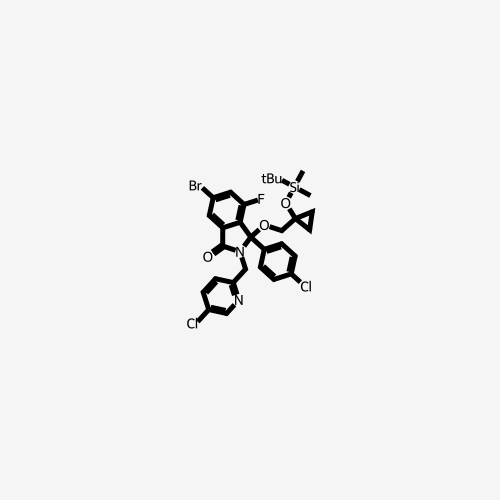 CC(C)(C)[Si](C)(C)OC1(COC2(c3ccc(Cl)cc3)c3c(F)cc(Br)cc3C(=O)N2Cc2ccc(Cl)cn2)CC1